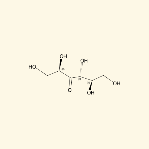 O=C([C@H](O)CO)[C@H](O)[C@H](O)CO